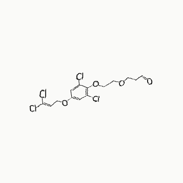 O=CCCOCCOc1c(Cl)cc(OCC=C(Cl)Cl)cc1Cl